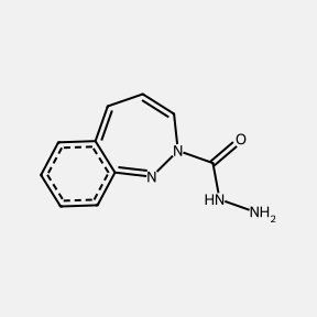 NNC(=O)N1C=CC=c2ccccc2=N1